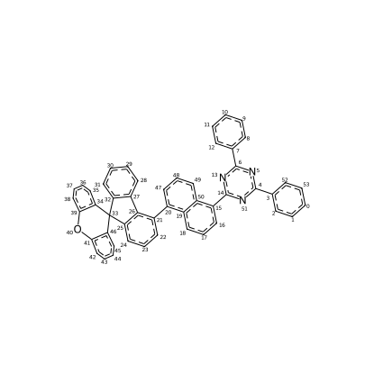 c1ccc(-c2nc(-c3ccccc3)nc(-c3cccc4c(-c5cccc6c5-c5ccccc5C65c6ccccc6Oc6ccccc65)cccc34)n2)cc1